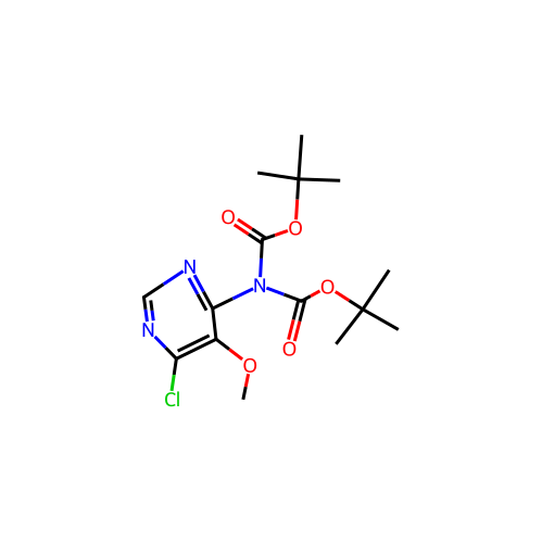 COc1c(Cl)ncnc1N(C(=O)OC(C)(C)C)C(=O)OC(C)(C)C